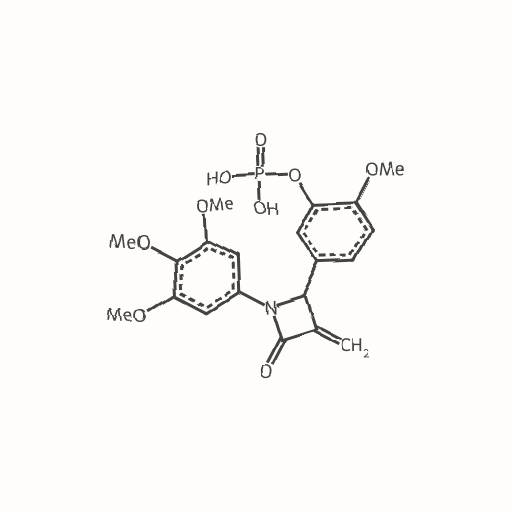 C=C1C(=O)N(c2cc(OC)c(OC)c(OC)c2)C1c1ccc(OC)c(OP(=O)(O)O)c1